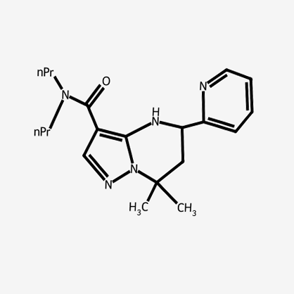 CCCN(CCC)C(=O)c1cnn2c1NC(c1ccccn1)CC2(C)C